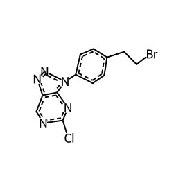 Clc1ncc2nnn(-c3ccc(CCBr)cc3)c2n1